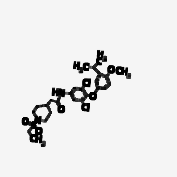 CCS(=O)(=O)N1CCC(CC(=O)Nc2cc(Cl)c(Oc3ccc(OC)c(C(C)C)c3)c(Cl)c2)CC1